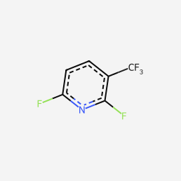 Fc1ccc(C(F)(F)F)c(F)n1